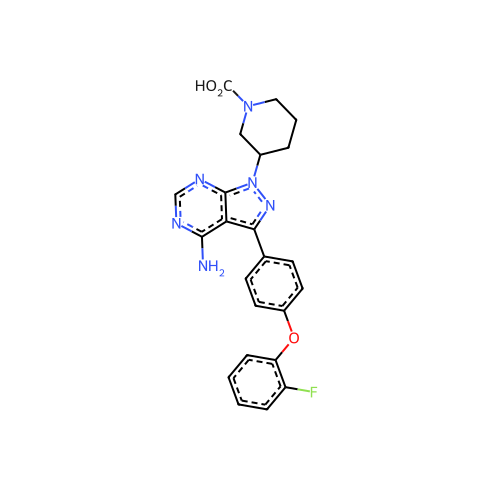 Nc1ncnc2c1c(-c1ccc(Oc3ccccc3F)cc1)nn2C1CCCN(C(=O)O)C1